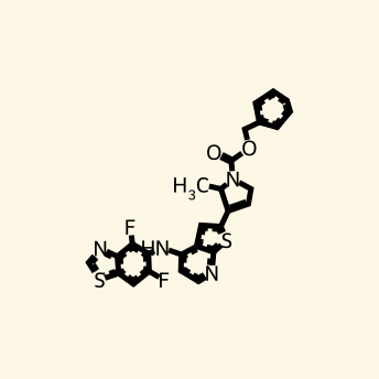 CC1C(c2cc3c(Nc4c(F)cc5scnc5c4F)ccnc3s2)=CCN1C(=O)OCc1ccccc1